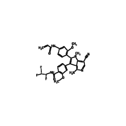 C=CC(=O)Nc1ccc(-c2c(-c3ccc(C(=O)NC(F)C(F)F)c(OC)c3)c3c(N)ncc(C#N)c3n2C)c(OC)c1